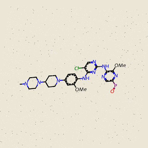 COc1cc(N2CCC(N3CCN(C)CC3)CC2)ccc1Nc1nc(Nc2ncc(P=O)nc2OC)ncc1Cl